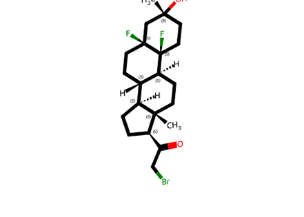 C[C@@]1(O)CC[C@]2(F)[C@H]3CC[C@]4(C)[C@@H](C(=O)CBr)CC[C@H]4[C@@H]3CC[C@]2(F)C1